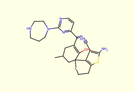 CC1CC(C(=N)c2ccnc(N3CCCNCC3)n2)=C(O)C2(CCCc3sc(N)c(C#N)c32)C1